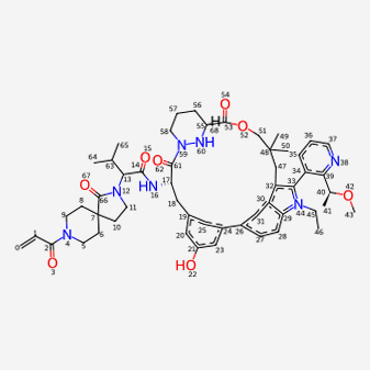 C=CC(=O)N1CCC2(CC1)CCN(C(C(=O)N[C@H]1Cc3cc(O)cc(c3)-c3ccc4c(c3)c(c(-c3cccnc3[C@H](C)OC)n4CC)CC(C)(C)COC(=O)[C@@H]3CCCN(N3)C1=O)C(C)C)C2=O